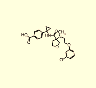 CN(CCOc1cccc(Cl)c1)C1(C(=O)NC2(c3ccc(C(=O)O)cc3)CC2)CCOC1